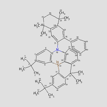 CC(C)(C)c1ccc2c(c1)[SH]1c3cc(C(C)(C)C)ccc3C(C)(C)c3cccc(c31)N2c1cc2c(cc1-c1ccccc1)C(C)(C)CCC2(C)C